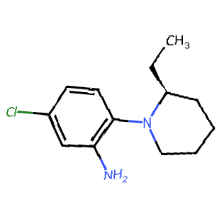 CC[C@H]1CCCCN1c1ccc(Cl)cc1N